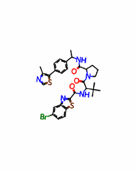 Cc1ncsc1-c1ccc(C(C)NC(=O)C2CCCN2C(=O)C(NC(=O)c2nc3cc(Br)ccc3s2)C(C)(C)C)cc1